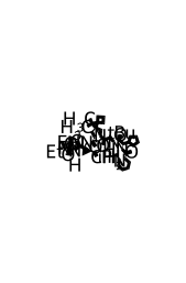 C=C[C@@H]1C[C@]1(NC(=O)[C@@H]1C[C@@]2(CN1C(=O)[C@@H](NC(=O)[C@@H](NC(=O)[C@@H]1CCCCN1C(C)C)C1CCCC1)C(C)(C)C)C(C)(C)C21CCC1)C(=O)NS(=O)(=O)N(CC)CC